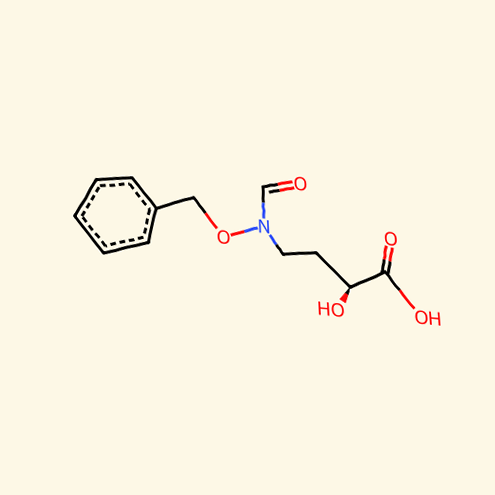 O=CN(CC[C@H](O)C(=O)O)OCc1ccccc1